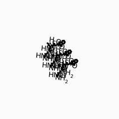 CC(C)C[C@H](NC(=O)C(S)CCCN1C(=O)c2ccccc2C1=O)C(=O)N[C@@H](CCCNC(=N)N)C(N)=O.CCC[C@H](NC(=O)C(S)CCCN1C(=O)c2ccccc2C1=O)C(=O)N[C@@H](CCCNC(=N)N)C(N)=O.CC[C@H](C)[C@H](NC(=O)C(S)CCCN1C(=O)c2ccccc2C1=O)C(=O)N[C@@H](CCCNC(=N)N)C(N)=O